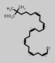 CC/C=C\C/C=C\C/C=C\C/C=C\C/C=C\C/C=C\CCCC(C)(C)C(=O)OCC